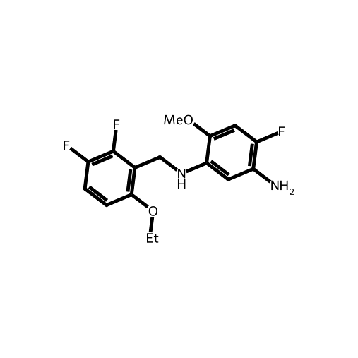 CCOc1ccc(F)c(F)c1CNc1cc(N)c(F)cc1OC